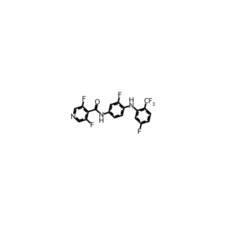 O=C(Nc1ccc(Nc2cc(F)ccc2C(F)(F)F)c(F)c1)c1c(F)cncc1F